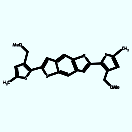 COCc1cc(C)sc1-c1cc2cc3sc(-c4sc(C)cc4COC)cc3cc2s1